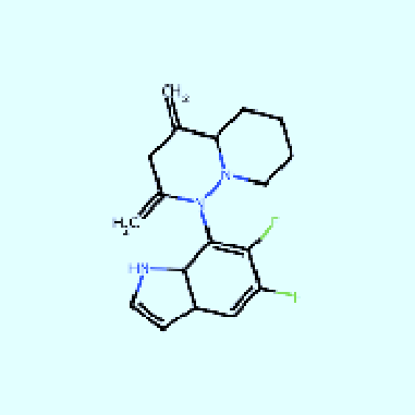 C=C1CC(=C)N(C2=C(F)C(F)=CC3C=CNC23)N2CCCCC12